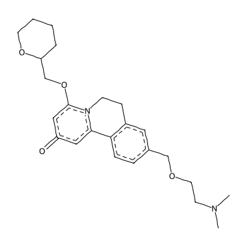 CN(C)CCOCc1ccc2c(c1)CCn1c(OCC3CCCCO3)cc(=O)cc1-2